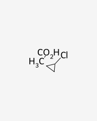 CC(=O)O.ClC1CC1